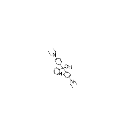 CCN(CC)c1ccc(C(O)(c2ccc(N(CC)CC)cc2)c2ccccn2)cc1